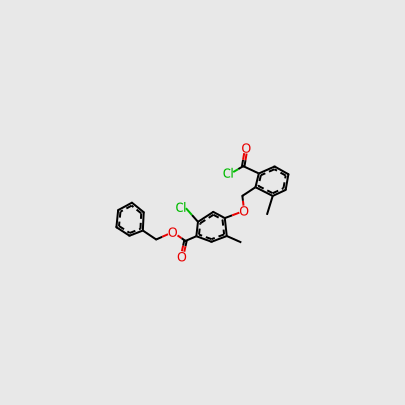 Cc1cc(C(=O)OCc2ccccc2)c(Cl)cc1OCc1c(C)cccc1C(=O)Cl